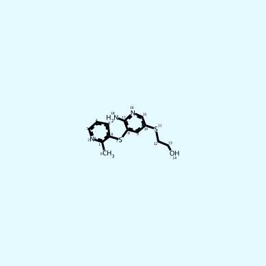 Cc1ncccc1Sc1cc(SCCO)cnc1N